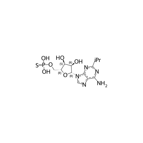 CC(C)c1nc(N)c2ncn([C@@H]3O[C@H](COP(O)(O)=S)[C@@H](O)[C@H]3O)c2n1